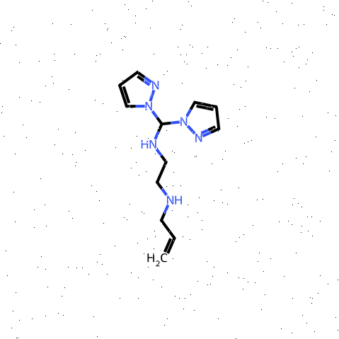 C=CCNCCNC(n1cccn1)n1cccn1